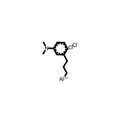 CN(C)c1cccc(CC[CH2][Al+2])c1.[Cl-].[Cl-]